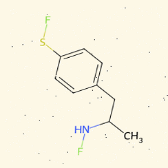 CC(Cc1ccc(SF)cc1)NF